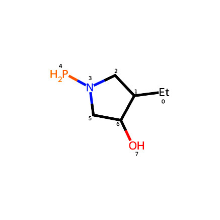 CCC1CN(P)CC1O